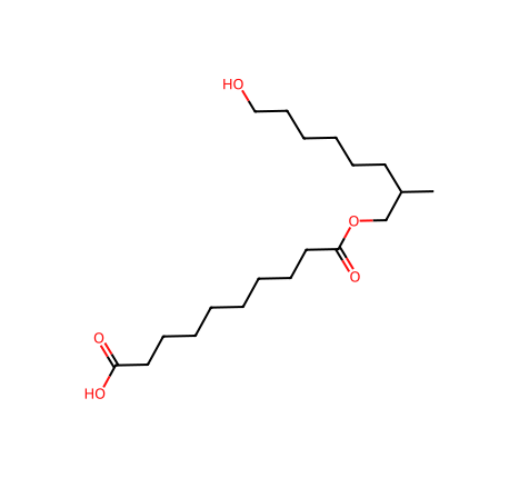 CC(CCCCCCO)COC(=O)CCCCCCCCC(=O)O